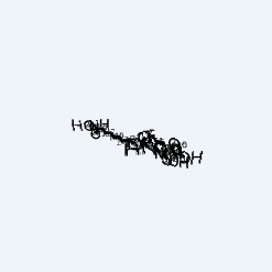 C[C@H]1O[C@@H](n2cc(F)c(NC(=O)OCCCCCCCC(=O)NO)nc2=O)[C@H](O)[C@@H]1O